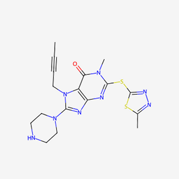 CC#CCn1c(N2CCNCC2)nc2nc(Sc3nnc(C)s3)n(C)c(=O)c21